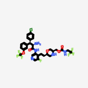 N[C@H](C(=O)Nc1cncc(F)c1CC[C@@H]1CN[C@H](COC(=O)NCC(F)(F)F)CO1)[C@@H](c1ccc(Cl)cc1)c1cccc(OC(F)(F)F)c1